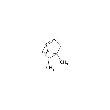 CC1=CC2=CCC1(C)O2